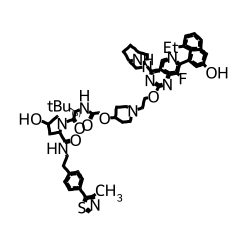 CCc1cccc2cc(O)cc(-c3ncc4c(N5CC6CCC(C5)N6)nc(OCCN5CCC(OCC(=O)N[C@H](C(=O)N6CC(O)CC6C(=O)NCCc6ccc(-c7scnc7C)cc6)C(C)(C)C)CC5)nc4c3F)c12